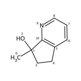 CC1(O)CCc2[c]ccnc21